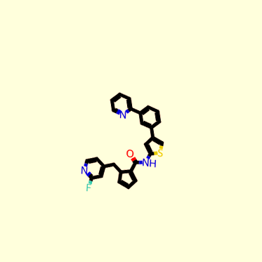 O=C(Nc1cc(-c2cccc(-c3ccccn3)c2)cs1)C1=CC=CC1Cc1ccnc(F)c1